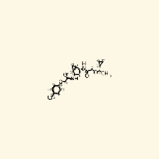 CC(OCC(=O)N[C@@H]1C[C@H](NC(=O)COc2ccc(Cl)cc2)C2CC21)C1CC1